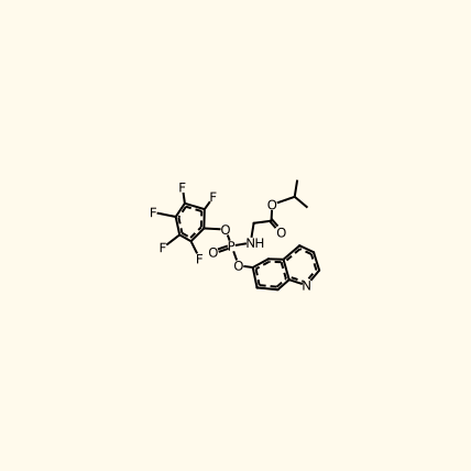 CC(C)OC(=O)CNP(=O)(Oc1ccc2ncccc2c1)Oc1c(F)c(F)c(F)c(F)c1F